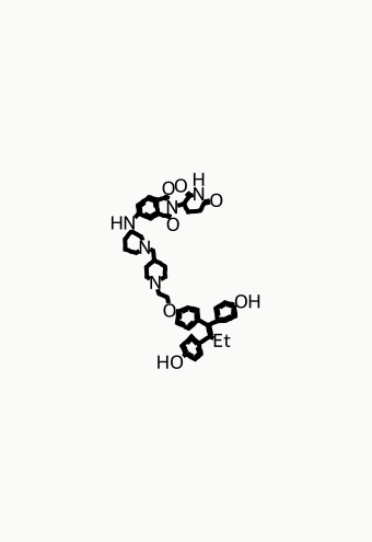 CCC(=C(c1ccc(O)cc1)c1ccc(OCCN2CCC(CN3CCCC(Nc4ccc5c(c4)C(=O)N(C4CCC(=O)NC4=O)C5=O)C3)CC2)cc1)c1ccc(O)cc1